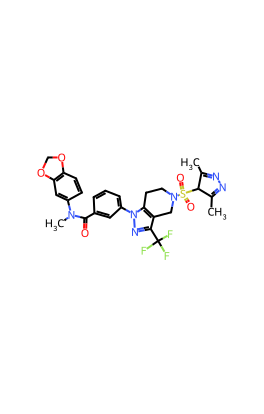 CC1=NN=C(C)C1S(=O)(=O)N1CCc2c(c(C(F)(F)F)nn2-c2cccc(C(=O)N(C)c3ccc4c(c3)OCO4)c2)C1